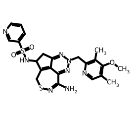 COc1c(C)cnc(CN2N=C3CC(NS(=O)(=O)c4cccnc4)C4=C3C(=N2)C(N)=NSC4)c1C